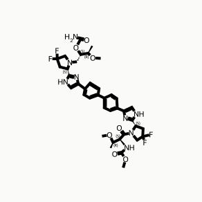 COC(=O)N[C@H](C(=O)N1CC(F)(F)C[C@H]1c1nc(-c2ccc(-c3ccc(-c4c[nH]c([C@@H]5CC(F)(F)CN5C[C@H](OC(N)=O)[C@@H](C)OC)n4)cc3)cc2)c[nH]1)[C@@H](C)OC